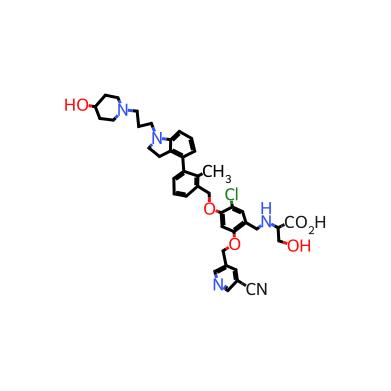 Cc1c(COc2cc(OCc3cncc(C#N)c3)c(CNC(CO)C(=O)O)cc2Cl)cccc1-c1cccc2c1CCN2CCCN1CCC(O)CC1